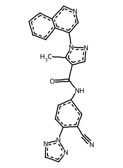 Cc1c(C(=O)Nc2ccc(-n3nccn3)c(C#N)c2)cnn1-c1cncc2ccccc12